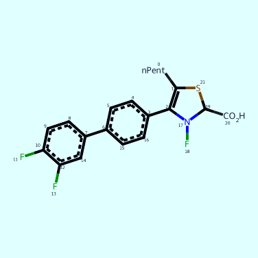 CCCCCC1=C(c2ccc(-c3ccc(F)c(F)c3)cc2)N(F)C(C(=O)O)S1